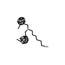 C[C]12[CH]3[CH]4[CH]5[C]1(CN(CCCCCCO)C[C]16[CH]7[CH]8[CH]9[C]1(C)[Fe]89761%10%11%12[CH]6[CH]1[CH]%10[CH]%11[CH]6%12)[Fe]43521678[CH]2[CH]1[CH]6[CH]7[CH]28